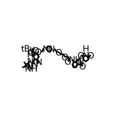 Cc1[nH]nc(Nc2ncnc3cc(OCCN4CCN(CCOCCOCC(=O)Nc5cccc6c5CN(C5CCC(=O)NC5=O)C6=O)CC4)c(S(=O)(=O)C(C)(C)C)cc23)c1C